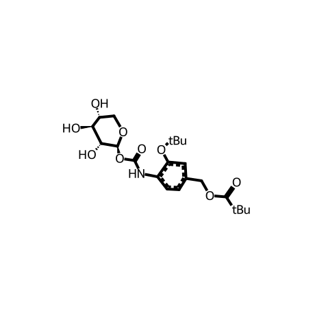 CC(C)(C)Oc1cc(COC(=O)C(C)(C)C)ccc1NC(=O)O[C@@H]1OC[C@@H](O)[C@H](O)[C@H]1O